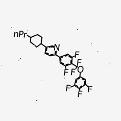 CCCC1CCC(c2ccc(-c3cc(F)c(C(F)(F)Oc4cc(F)c(F)c(F)c4)c(F)c3)nc2)CC1